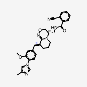 COc1cc(/C=C2\CCCN3C2=NOC[C@@H]3CNC(=O)c2ccccc2C#N)ccc1-n1cnc(C)c1